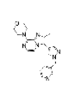 Cc1nc2c(N3CCOCC3)nccn2c1-c1cnn(Cc2cccnc2)c1